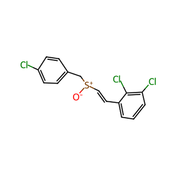 [O-][S+](/C=C/c1cccc(Cl)c1Cl)Cc1ccc(Cl)cc1